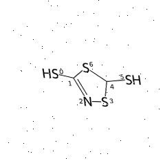 SC1=NSC(S)S1